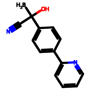 BC(O)(C#N)c1ccc(-c2ccccn2)cc1